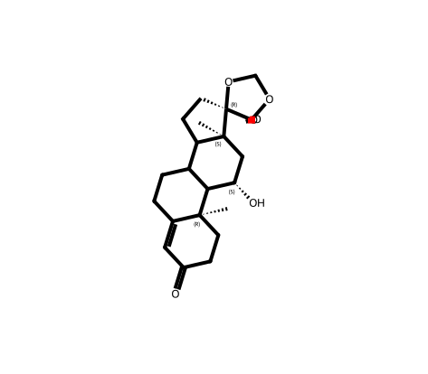 C[C@]12CCC(=O)C=C1CCC1C2[C@@H](O)C[C@@]2(C)C1CC[C@@]21OCOC12COCO2